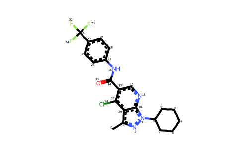 Cc1nn(C2CCCCC2)c2ncc(C(=O)Nc3ccc(C(F)(F)F)cc3)c(Cl)c12